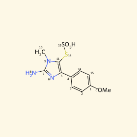 COc1ccc(-c2nc(N)n(C)c2SS(=O)(=O)O)cc1